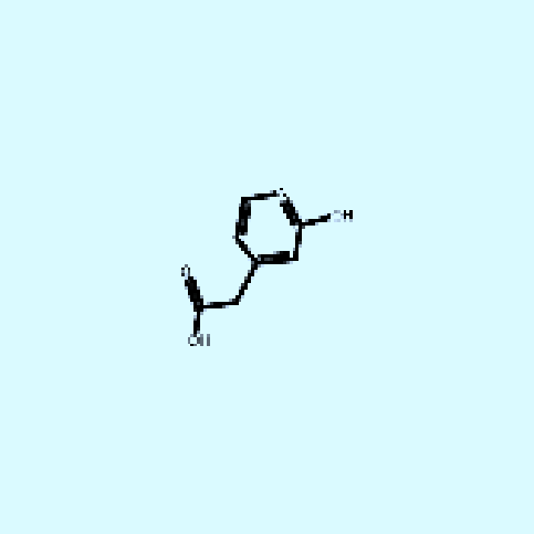 O=C(O)Cc1ccnc(O)c1